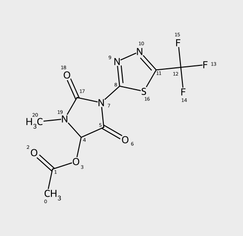 CC(=O)OC1C(=O)N(c2nnc(C(F)(F)F)s2)C(=O)N1C